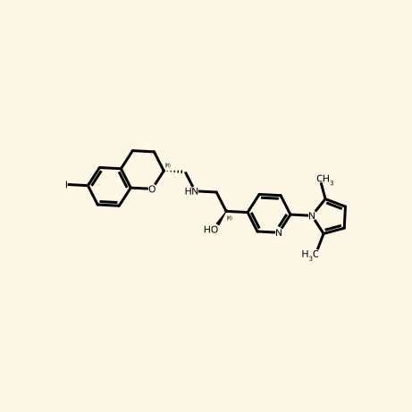 Cc1ccc(C)n1-c1ccc([C@@H](O)CNC[C@H]2CCc3cc(I)ccc3O2)cn1